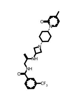 C=C(CNC(=O)c1cccc(C(F)(F)F)c1)NC1CN([C@H]2CC[C@@H](n3ccc(C)cc3=O)CC2)C1